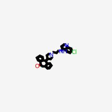 O=C1Cc2ccccc2C(=C2CCN(CCCNc3ccnc4cc(Cl)ccc34)CC2)c2ccccc21